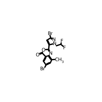 Cc1cc(Br)cc2c(=O)oc(-c3cc(Br)nn3CC(F)F)nc12